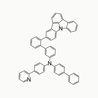 c1ccc(-c2ccc(N(c3ccc(-c4ccccn4)cc3)c3cccc(-c4ccccc4-c4ccc5c(c4)c4cccc6c7ccccc7n5c64)c3)cc2)cc1